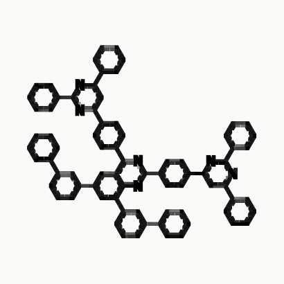 c1ccc(-c2cccc(-c3cc(-c4cccc(-c5ccccc5)c4)c4nc(-c5ccc(-c6cc(-c7ccccc7)nc(-c7ccccc7)n6)cc5)nc(-c5ccc(-c6cc(-c7ccccc7)nc(-c7ccccc7)n6)cc5)c4c3)c2)cc1